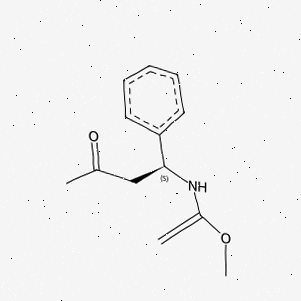 C=C(N[C@@H](CC(C)=O)c1ccccc1)OC